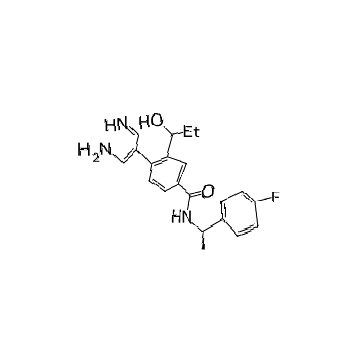 CCC(O)c1cc(C(=O)N[C@H](C)c2ccc(F)cc2)ccc1/C(C=N)=C/N